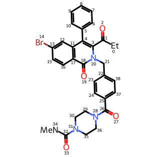 CCC(=O)c1c(-c2ccccc2)c2cc(Br)ccc2c(=O)n1Cc1ccc(C(=O)N2CCN(C(=O)NC)CC2)cc1